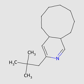 CC(C)(C)CC1=CC2CCCCCCCC2C=N1